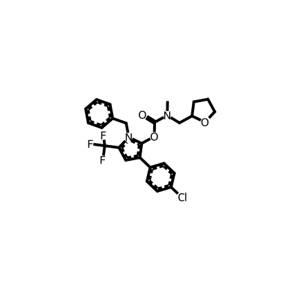 CN(CC1CCCO1)C(=O)Oc1c(-c2ccc(Cl)cc2)cc(C(F)(F)F)n1Cc1ccccc1